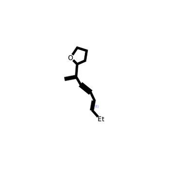 C=C(C#C/C=C/CC)C1CCCO1